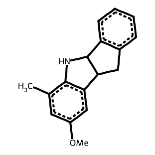 COc1cc(C)c2c(c1)C1Cc3ccccc3C1N2